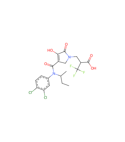 CCC(C)N(C(=O)C1=C(O)C(=O)N(CC(C(=O)O)C(F)(F)F)C1)c1ccc(Cl)c(Cl)c1